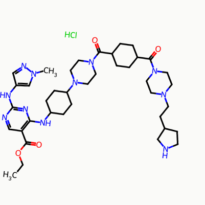 CCOC(=O)c1cnc(Nc2cnn(C)c2)nc1NC1CCC(N2CCN(C(=O)C3CCC(C(=O)N4CCN(CCC5CCNC5)CC4)CC3)CC2)CC1.Cl